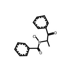 CC(C(=O)c1ccccc1)N(Cl)C(=O)c1ccccc1